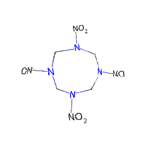 O=NN1CN([N+](=O)[O-])CN(N=O)CN([N+](=O)[O-])C1